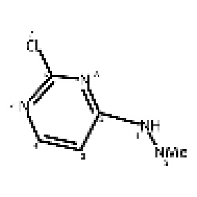 CNNc1ccnc(Cl)n1